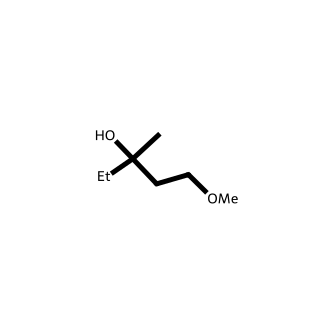 [CH2]CC(C)(O)CCOC